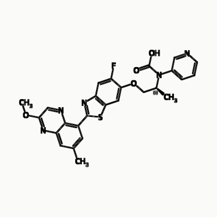 COc1cnc2c(-c3nc4cc(F)c(OC[C@H](C)N(C(=O)O)c5cccnc5)cc4s3)cc(C)cc2n1